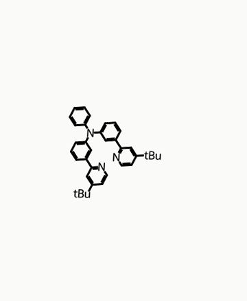 CC(C)(C)c1ccnc(-c2cccc(N(c3ccccc3)c3cccc(-c4cc(C(C)(C)C)ccn4)c3)c2)c1